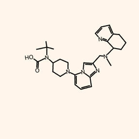 CN(Cc1cn2c(N3CCC(N(C(=O)O)C(C)(C)C)CC3)cccc2n1)C1CCCc2cccnc21